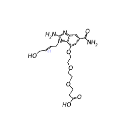 NC(=O)c1cc(OCCOCCOCCC(=O)O)c2c(c1)nc(N)n2C/C=C/CO